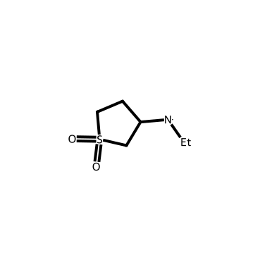 CC[N]C1CCS(=O)(=O)C1